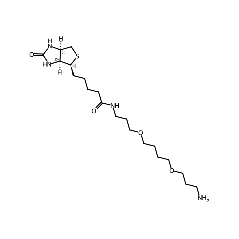 NCCCOCCCCOCCCNC(=O)CCCC[C@@H]1SC[C@@H]2NC(=O)N[C@@H]21